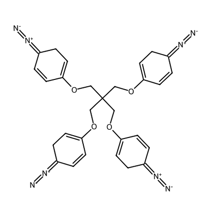 [N-]=[N+]=C1C=CC(OCC(COC2=CCC(=[N+]=[N-])C=C2)(COC2=CCC(=[N+]=[N-])C=C2)COC2=CCC(=[N+]=[N-])C=C2)=CC1